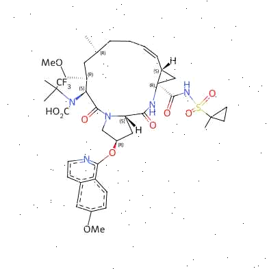 COC[C@@H]1C[C@H](C)CCC=C[C@@H]2C[C@@]2(C(=O)NS(=O)(=O)C2(C)CC2)NC(=O)[C@@H]2C[C@@H](Oc3nccc4cc(OC)ccc34)CN2C(=O)[C@H]1N(C(=O)O)C(C)(C)C(F)(F)F